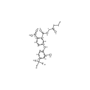 CCCC(=O)COC(=O)c1cc(Oc2ccc(C(F)(F)F)cc2Cl)ccc1[N+](=O)[O-]